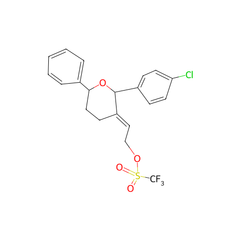 O=S(=O)(OCC=C1CCC(c2ccccc2)OC1c1ccc(Cl)cc1)C(F)(F)F